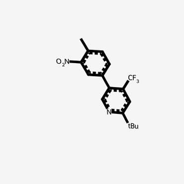 Cc1ccc(-c2cnc(C(C)(C)C)cc2C(F)(F)F)cc1[N+](=O)[O-]